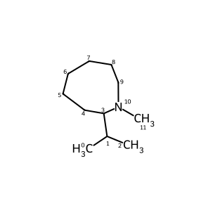 CC(C)C1CCCCCCN1C